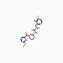 COc1cccc(C(=O)N2CCC[C@@H](N(C)C(=O)NCc3cccc(Cl)c3C)C2)n1